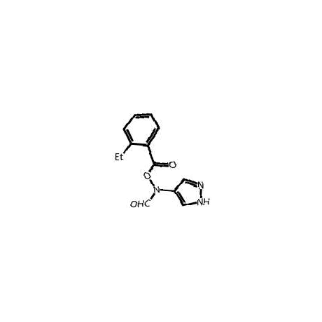 CCc1ccccc1C(=O)ON(C=O)c1cn[nH]c1